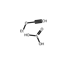 C#COCC.O=S(O)O